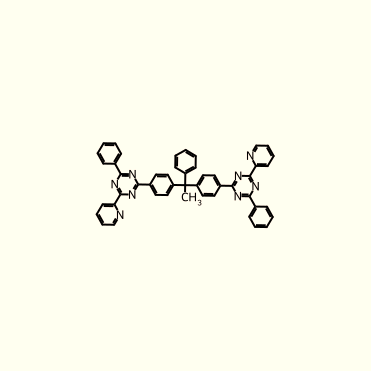 CC(c1ccccc1)(c1ccc(-c2nc(-c3ccccc3)nc(-c3ccccn3)n2)cc1)c1ccc(-c2nc(-c3ccccc3)nc(-c3ccccn3)n2)cc1